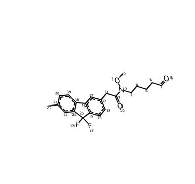 CON(CCCCC=O)C(=O)Cc1ccc2c(c1)-c1ccc(C)cc1C2(F)F